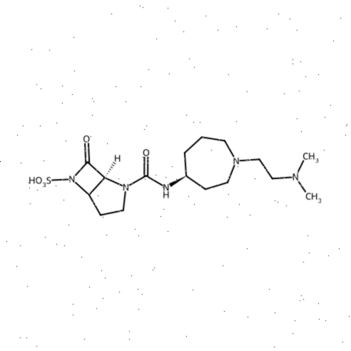 CN(C)CCN1CCC[C@H](NC(=O)N2CCC3[C@H]2C(=O)N3S(=O)(=O)O)CC1